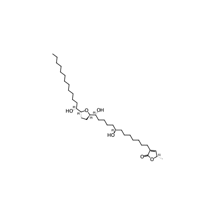 CCCCCCCCCCCC[C@@H](O)[C@H]1CC[C@H]([C@H](O)CCCC[C@H](O)CCCCCCCC2=C[C@H](C)OC2=O)O1